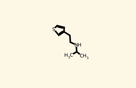 CC(C)NCCc1ccsc1